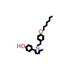 CCCCCCCOc1ccc(CCn2c(C)ccc2-c2ccc(O)cc2)cc1